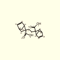 O=C(O)C1(CCC2(C(=O)O)CC3C=CC2C3)CC2C=CC1C2